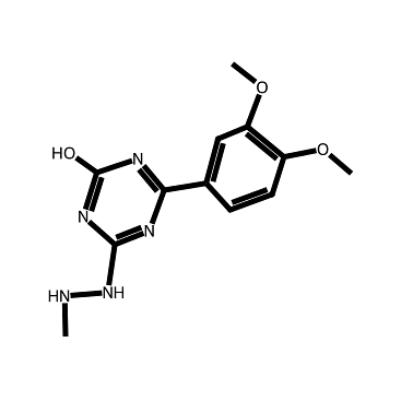 CNNc1nc(O)nc(-c2ccc(OC)c(OC)c2)n1